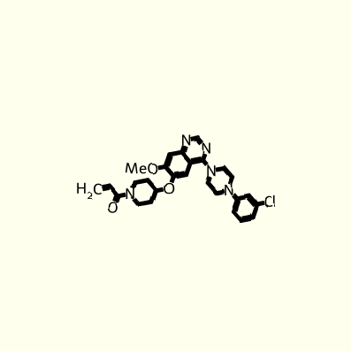 C=CC(=O)N1CCC(Oc2cc3c(N4CCN(c5cccc(Cl)c5)CC4)ncnc3cc2OC)CC1